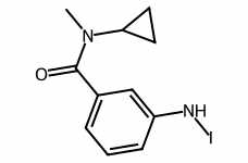 CN(C(=O)c1cccc(NI)c1)C1CC1